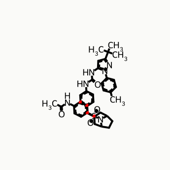 CC(=O)Nc1ccc(S(=O)(=O)N2C3CCC2CC(Cc2ccc(NC(=O)Nc4cc(C(C)(C)C)nn4-c4ccc(C)cc4)cc2)C3)cc1